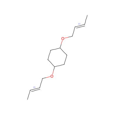 C/C=C/COC1CCC(OC/C=C/C)CC1